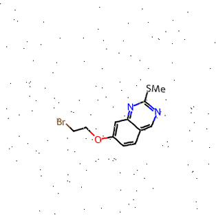 CSc1ncc2ccc(OCCBr)cc2n1